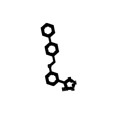 c1ccc(-c2ccc(COc3cccc(-c4nnn[nH]4)c3)cc2)cc1